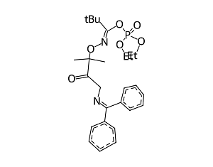 CCOP(=O)(OCC)O/C(=N/OC(C)(C)C(=O)CN=C(c1ccccc1)c1ccccc1)C(C)(C)C